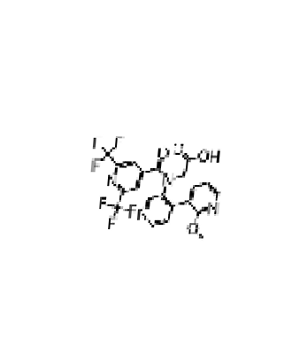 COc1ncccc1-c1ccncc1N(CC(=O)O)C(=O)c1cc(C(F)(F)F)nc(C(F)(F)F)c1